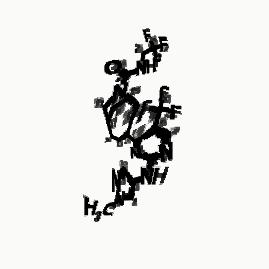 Cn1cc(Nc2ncc(C(F)(F)F)c(C3=CCC4CC(C3)N(C(=O)NCC(F)(F)F)C4)n2)cn1